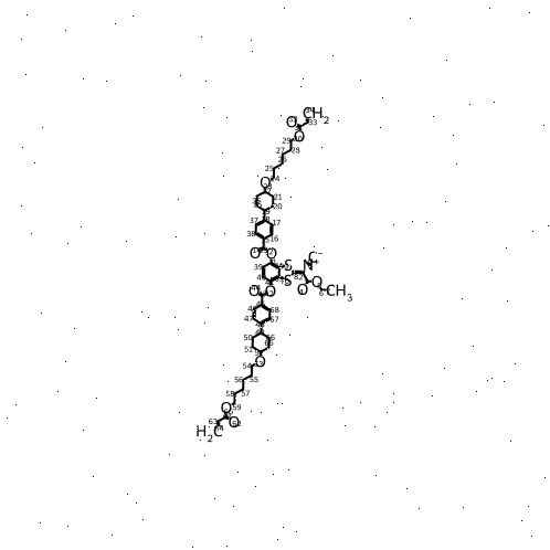 [C-]#[N+]C(C(=O)OCC)=C1Sc2c(OC(=O)c3ccc(C4CCC(OCCCCCCOC(=O)C=C)CC4)cc3)ccc(OC(=O)c3ccc(C4CCC(OCCCCCCOC(=O)C=C)CC4)cc3)c2S1